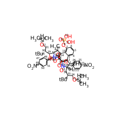 C[C@@H]1C(c2cccc(OP(=O)(O)O)c2C2=C(C(=O)OCc3ccc([N+](=O)[O-])cc3)N3O[C@@H]([C@@H](CO[SiH](C)C)C(C)(C)C)[C@H]3[C@@H]2C)=C(C(=O)OCc2ccc([N+](=O)[O-])cc2)N2O[C@@H]([C@@H](CO[SiH](C)C)C(C)(C)C)[C@@H]12